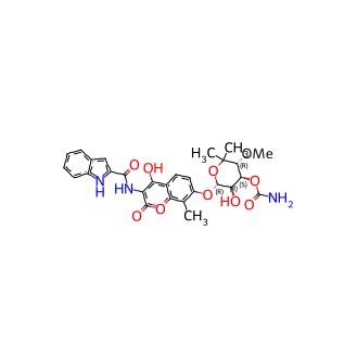 CO[C@@H]1[C@@H](OC(N)=O)[C@@H](O)[C@H](Oc2ccc3c(O)c(NC(=O)c4cc5ccccc5[nH]4)c(=O)oc3c2C)OC1(C)C